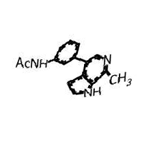 CC(=O)Nc1cccc(-c2cnc(C)c3[nH]ccc23)c1